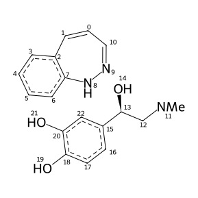 C1=Cc2ccccc2NN=C1.CNC[C@H](O)c1ccc(O)c(O)c1